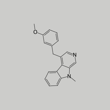 COc1cccc(Cc2cncc3c2c2ccccc2n3C)c1